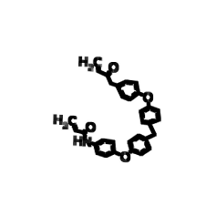 C=CC(=O)Cc1ccc(Oc2ccc(Cc3ccc(Oc4ccc(NC(=O)C=C)cc4)cc3)cc2)cc1